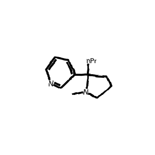 CCCC1(c2cccnc2)CCCN1C